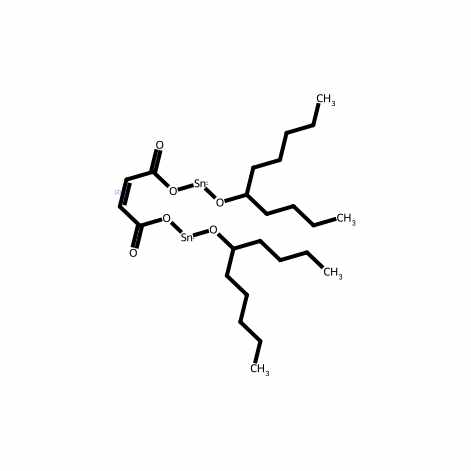 CCCCCC(CCCC)[O][Sn][O]C(=O)/C=C\C(=O)[O][Sn][O]C(CCCC)CCCCC